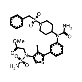 COC(=O)CN(c1csc(-c2cccc(N(C(N)=O)C3CCN(S(=O)(=O)Cc4ccccc4)CC3)c2)c1C)S(N)(=O)=O